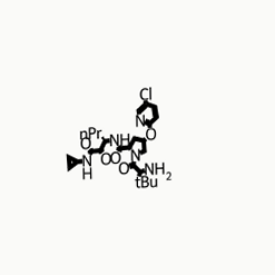 CCC[C@@H](NC(=O)C1CC(Oc2ccc(Cl)cn2)CN1C(=O)C(N)C(C)(C)C)C(=O)C(=O)NC1CC1